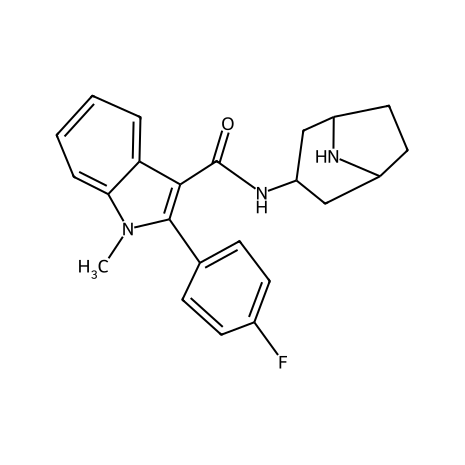 Cn1c(-c2ccc(F)cc2)c(C(=O)NC2CC3CCC(C2)N3)c2ccccc21